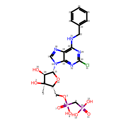 C[C@@]1(O)[C@@H](COP(=O)(O)CP(=O)(O)O)O[C@@H](n2cnc3c(NCc4ccccc4)nc(Cl)nc32)[C@@H]1O